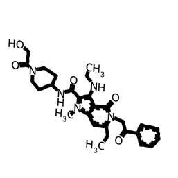 CCNc1c(C(=O)NC2CCN(C(=O)CO)CC2)n(C)c2cc(CC)n(CC(=O)c3ccccc3)c(=O)c12